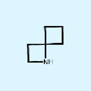 [CH]1CCC12CCN2